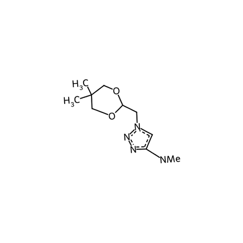 CNc1cn(CC2OCC(C)(C)CO2)nn1